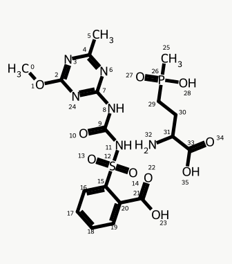 COc1nc(C)nc(NC(=O)NS(=O)(=O)c2ccccc2C(=O)O)n1.CP(=O)(O)CCC(N)C(=O)O